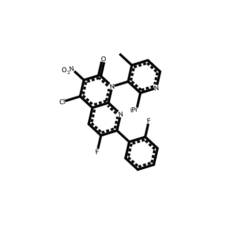 Cc1ccnc(C(C)C)c1-n1c(=O)c([N+](=O)[O-])c(Cl)c2cc(F)c(-c3ccccc3F)nc21